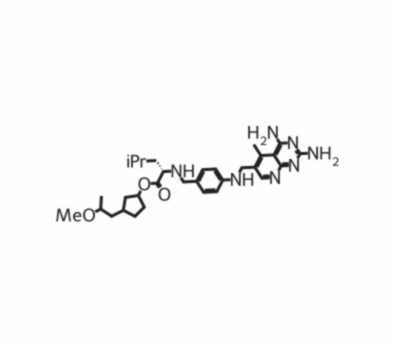 COC(C)CC1CCC(OC(=O)[C@H](CC(C)C)NCc2ccc(NCc3cnc4nc(N)nc(N)c4c3C)cc2)C1